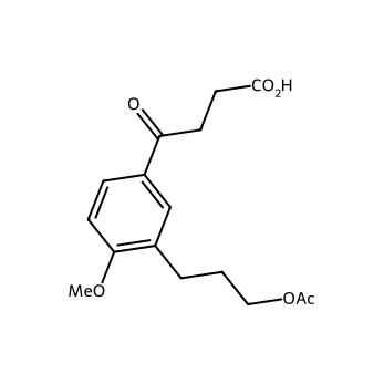 COc1ccc(C(=O)CCC(=O)O)cc1CCCOC(C)=O